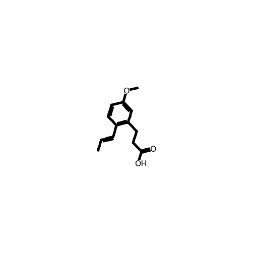 CC=Cc1ccc(OC)cc1CCC(=O)O